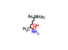 CC(=O)NC(CCC(O)CC(C)C(N)=O)C(C)=O